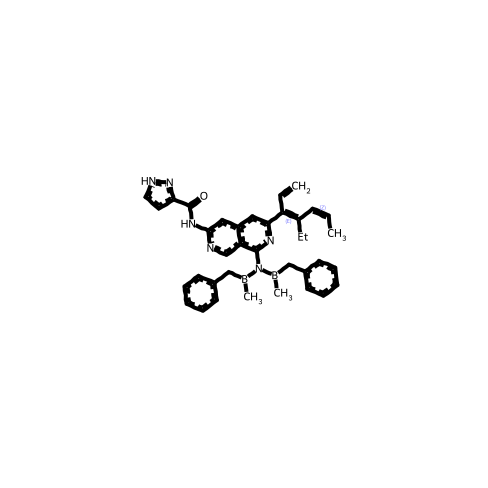 C=C/C(=C(\C=C/C)CC)c1cc2cc(NC(=O)c3cc[nH]n3)ncc2c(N(B(C)Cc2ccccc2)B(C)Cc2ccccc2)n1